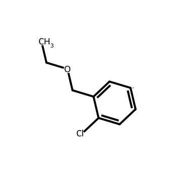 CCOCc1c[c]ccc1Cl